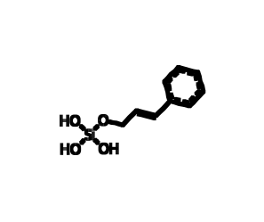 O[Si](O)(O)OCC=Cc1ccccc1